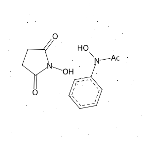 CC(=O)N(O)c1ccccc1.O=C1CCC(=O)N1O